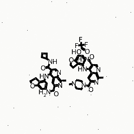 Cc1nc(C(=O)N2CCN(C)CC2)cc2c(Nc3cccc4c3CCO4)c(C(N)=O)cnc12.Cc1nc(C(N)=O)cc2c(Nc3cccc4c3CCO4)c(C(=O)NC3CCC3)cnc12.O=C(O)C(F)(F)F